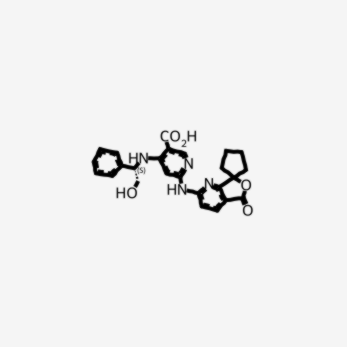 O=C(O)c1cnc(Nc2ccc3c(n2)C2(CCCC2)OC3=O)cc1N[C@H](CO)c1ccccc1